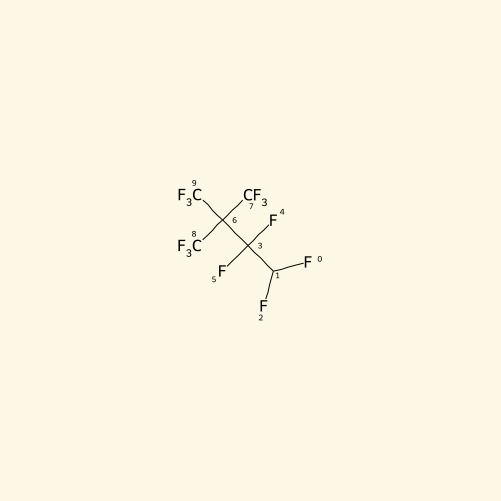 FC(F)C(F)(F)C(C(F)(F)F)(C(F)(F)F)C(F)(F)F